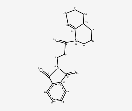 O=C(CCN1C(=O)c2ccccc2C1=O)N1CCCC2CCCC=C21